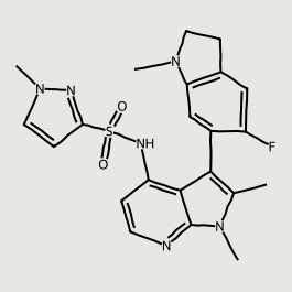 Cc1c(-c2cc3c(cc2F)CCN3C)c2c(NS(=O)(=O)c3ccn(C)n3)ccnc2n1C